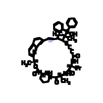 CC(C)[C@@H]1NC(=O)CCCC(C(C)(C)[Si](O)(c2ccccc2)c2ccccc2)C/C=C/c2ccc3ccc(nc3c2)[C@@H](C)OC(=O)[C@@H]2CCCN(N2)C(=O)[C@H](C)NC1=O